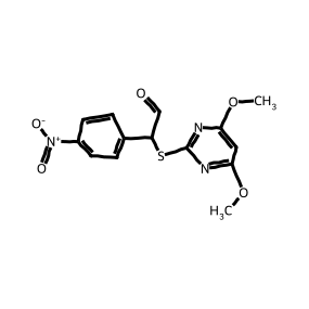 COc1cc(OC)nc(SC(C=O)c2ccc([N+](=O)[O-])cc2)n1